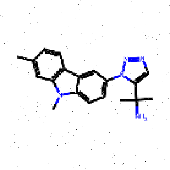 Cc1ccc2c3cc(-n4nncc4C(C)(C)N)ccc3n(C)c2c1